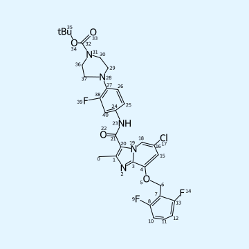 Cc1nc2c(OCc3c(F)cccc3F)cc(Cl)cn2c1C(=O)Nc1ccc(N2CCN(C(=O)OC(C)(C)C)CC2)c(F)c1